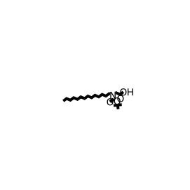 CCCCCCCCCCCCCCN(CC(=O)O)C(=O)OC(C)(C)C